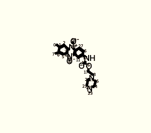 Cc1cc2c(cc1C)[n+]([O-])c1cc(NC(=O)OCCN3CCN(C)CC3)ccc1[n+]2[O-]